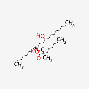 CCCCCCC(C)(C)C(=O)O.CCCCCCCCCCCC(O)CCCCCCCC